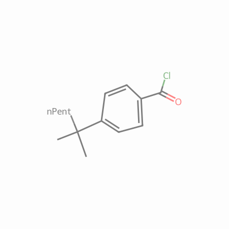 CCCCCC(C)(C)c1ccc(C(=O)Cl)cc1